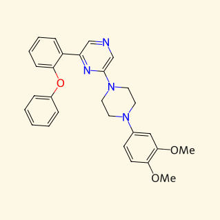 COc1ccc(N2CCN(c3cncc(-c4ccccc4Oc4ccccc4)n3)CC2)cc1OC